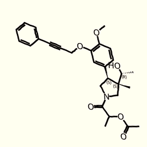 COc1ccc([C@@H]2CN(C(=O)C(C)OC(C)=O)C[C@@]2(C)[C@@H](C)O)cc1OCC#Cc1ccccc1